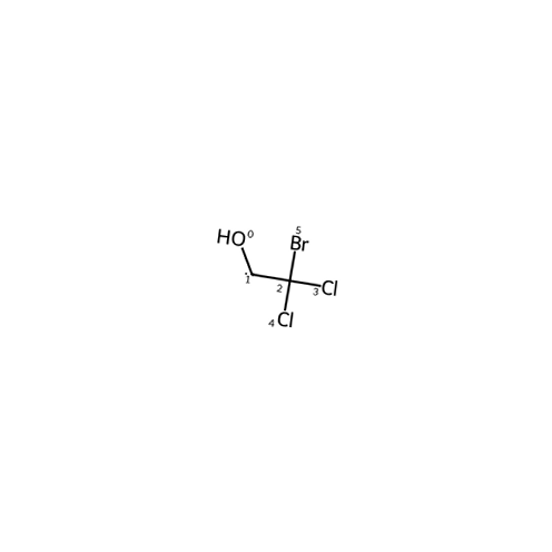 O[CH]C(Cl)(Cl)Br